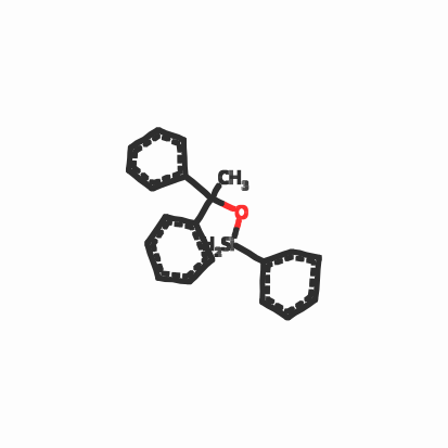 CC(O[SiH2]c1ccccc1)(c1ccccc1)c1ccccc1